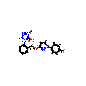 Cn1nnn(-c2ccccc2COc2ccn(-c3ccc(F)cc3)n2)c1=O